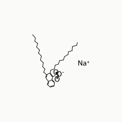 CCCCCCCCCCCCCc1cc2ccccc2c(S(=O)(=O)[O-])c1CCCCCCCCCCCCC.[Na+]